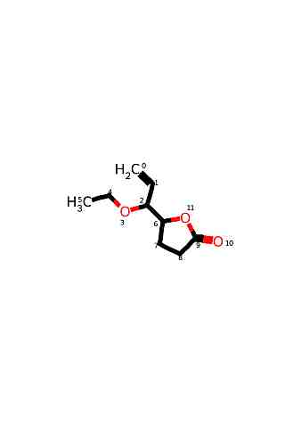 C=CC(OCC)C1CCC(=O)O1